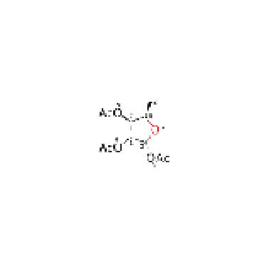 CC(=O)OC1[C@@H](OC(C)=O)O[C@H](C)[C@@H]1OC(C)=O